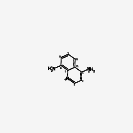 Nc1ccnc2c(N)cccc12